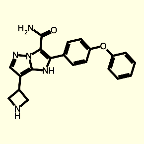 NC(=O)c1c(-c2ccc(Oc3ccccc3)cc2)[nH]c2c(C3CNC3)cnn12